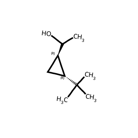 CC(O)[C@@H]1C[C@H]1C(C)(C)C